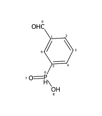 O=Cc1cccc([PH](=O)O)c1